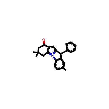 Cc1ccc2c(c1)C(c1ccccc1)c1cc3c(n1-2)CC(C)(C)CC3=O